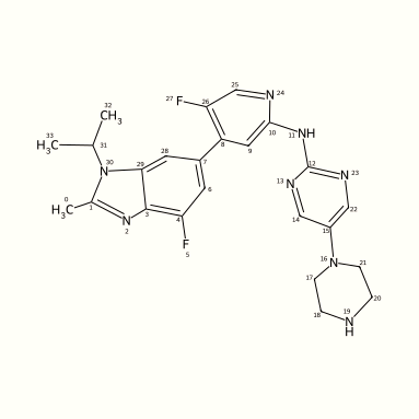 Cc1nc2c(F)cc(-c3cc(Nc4ncc(N5CCNCC5)cn4)ncc3F)cc2n1C(C)C